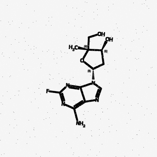 C[C@]1(CO)O[C@@H](n2cnc3c(N)nc(F)nc32)C[C@@H]1O